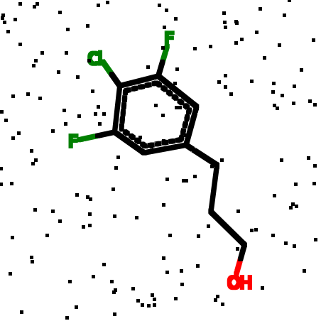 OCCCc1cc(F)c(Cl)c(F)c1